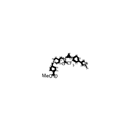 COC(=O)c1ccc(CN2CCC(CN(C(=O)C(F)(F)F)[C@@H]3C[C@H]3c3ccc(-c4cnn(C)c4)cc3)CC2)cc1